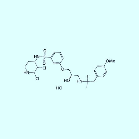 COc1ccc(CC(C)(C)NC[C@@H](O)COc2cccc(S(=O)(=O)NC3CCNC(Cl)C3Cl)c2)cc1.Cl